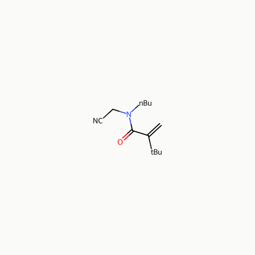 C=C(C(=O)N(CC#N)CCCC)C(C)(C)C